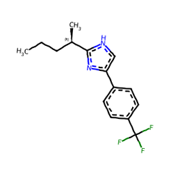 CCC[C@@H](C)c1nc(-c2ccc(C(F)(F)F)cc2)c[nH]1